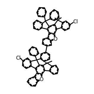 CC1(C)c2ccccc2-c2c1c1c(c3c2oc2ccccc23)-c2ccc(Cl)cc2C1(c1ccccc1)c1cccc(-c2ccc3c(c2)oc2c4c(c5c(c23)-c2ccccc2C5(c2ccccc2)c2ccccc2)C(C)(C)c2cc(Cl)ccc2-4)c1